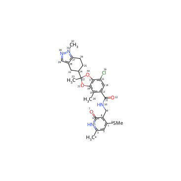 CSc1cc(C)[nH]c(=O)c1CNC(=O)c1cc(Cl)c2c(c1C)OC(C)(C1CCc3c(cnn3C)C1)O2